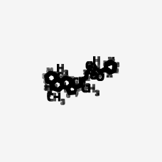 CC[C@H]1CC2C3CC[C@H]([C@H](C)CCCS(=O)(=O)NC(=O)c4ccccc4)[C@@]3(C)CCC2[C@@]2(C)CCCC[C@@H]12